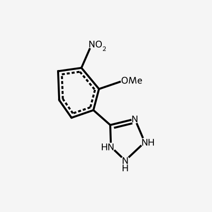 COc1c(C2=NNNN2)cccc1[N+](=O)[O-]